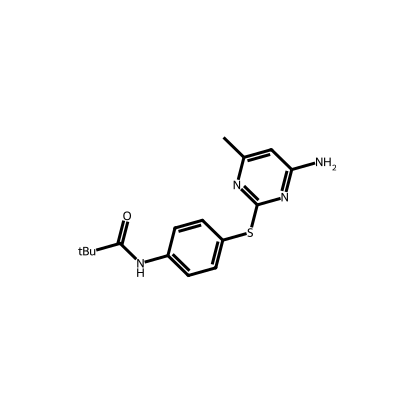 Cc1cc(N)nc(Sc2ccc(NC(=O)C(C)(C)C)cc2)n1